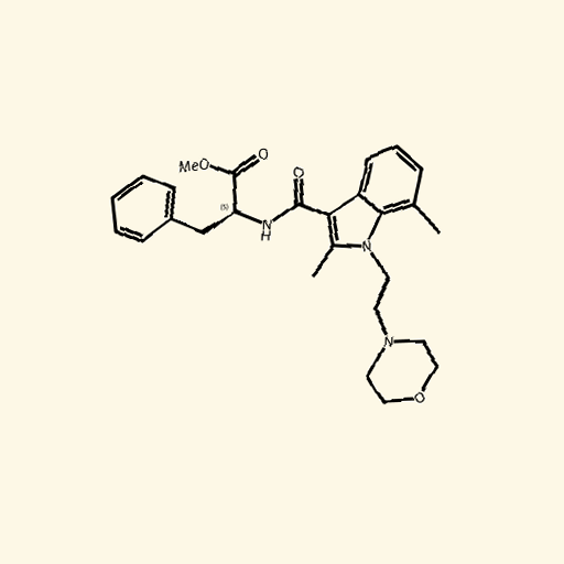 COC(=O)[C@H](Cc1ccccc1)NC(=O)c1c(C)n(CCN2CCOCC2)c2c(C)cccc12